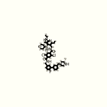 CCc1nc2c(cnn2CC)c(NC2CCOCC2)c1CNC(=O)c1cc(Cl)c(C(=O)NCc2ccc(F)c(-c3cccc(CN4CCN[C@@H](C)C4)c3)c2)cc1Cl